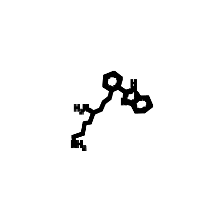 NCCCCC(N)CCCc1ccccc1-c1nc2ccccc2[nH]1